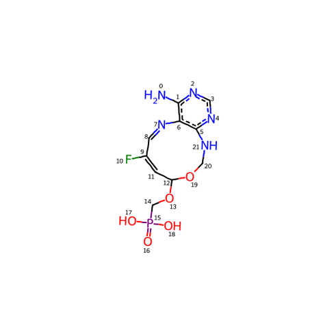 Nc1ncnc2c1/N=C\C(F)=C/C(OCP(=O)(O)O)OCN2